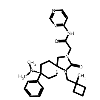 CN(C)[C@]1(c2ccccc2)CC[C@]2(CC1)CN(CC(=O)Nc1ccncn1)C(=O)N2CC1(C)CCC1